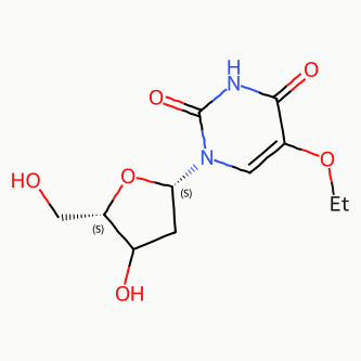 CCOc1cn([C@@H]2CC(O)[C@H](CO)O2)c(=O)[nH]c1=O